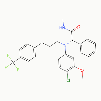 CNC(=O)[C@H](c1ccccc1)N(CCCc1ccc(C(F)(F)F)cc1)c1ccc(Cl)c(OC)c1